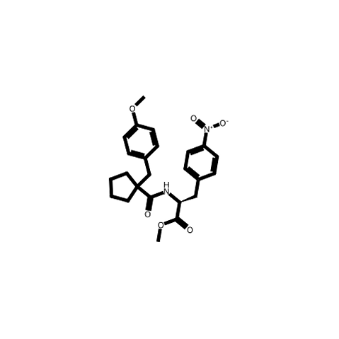 COC(=O)[C@H](Cc1ccc([N+](=O)[O-])cc1)NC(=O)C1(Cc2ccc(OC)cc2)CCCC1